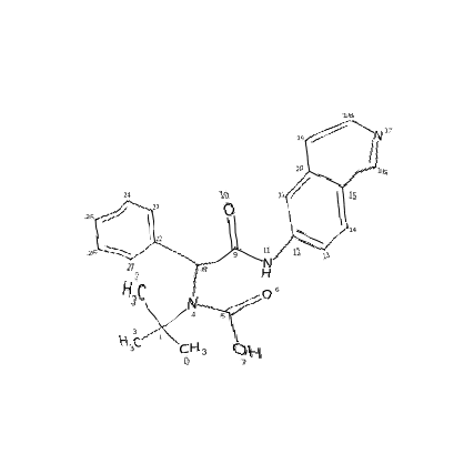 CC(C)(C)N(C(=O)O)C(C(=O)Nc1ccc2cnccc2c1)c1ccccc1